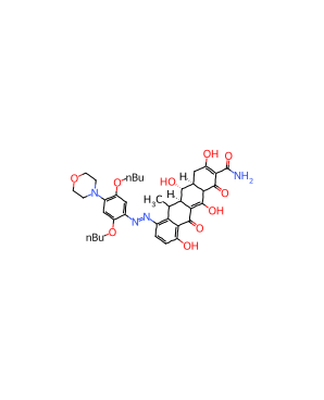 CCCCOc1cc(N2CCOCC2)c(OCCCC)cc1N=Nc1ccc(O)c2c1C(C)[C@@H]1C(=C(O)C3C(=O)C(C(N)=O)=C(O)C[C@@H]3[C@H]1O)C2=O